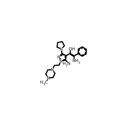 CN1CCN(CCn2nc(N3CCCC3)c(/C(O)=C(\N)c3ccccc3)c2N)CC1